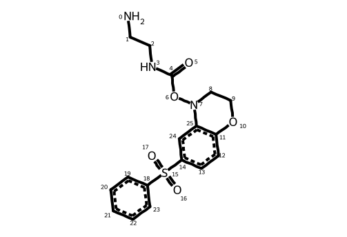 NCCNC(=O)ON1CCOc2ccc(S(=O)(=O)c3ccccc3)cc21